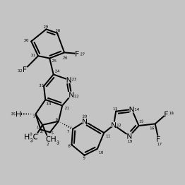 CC1(C)[C@H]2CC[C@]1(c1cccc(-n3cnc(C(F)F)n3)n1)c1nnc(-c3c(F)cccc3F)cc12